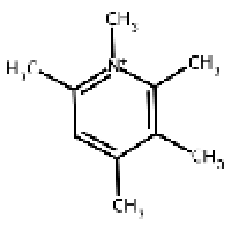 Cc1cc(C)[n+](C)c(C)c1C